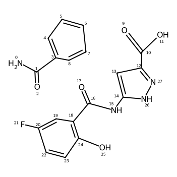 NC(=O)c1ccccc1.O=C(O)c1cc(NC(=O)c2cc(F)ccc2O)[nH]n1